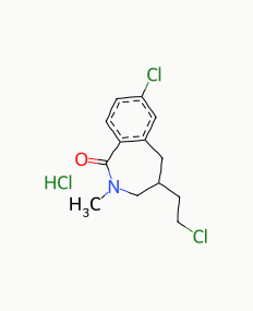 CN1CC(CCCl)Cc2cc(Cl)ccc2C1=O.Cl